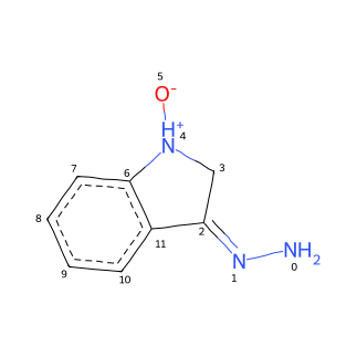 NN=C1C[NH+]([O-])c2ccccc21